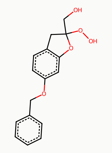 OCC1(OO)Cc2ccc(OCc3ccccc3)cc2O1